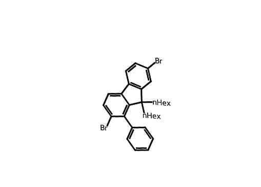 CCCCCCC1(CCCCCC)c2cc(Br)ccc2-c2ccc(Br)c(-c3ccccc3)c21